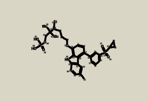 CCN(CCCOc1ccc(-c2cccc(S(=O)(=O)C3CC3)c2)c2c1[nH]c1ncc(C)cc12)C(COP(=O)(O)O)(C(C)(C)C)C(C)(C)C